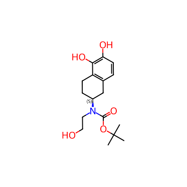 CC(C)(C)OC(=O)N(CCO)[C@H]1CCc2c(ccc(O)c2O)C1